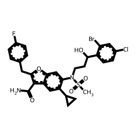 CS(=O)(=O)N(CCC(O)c1ccc(Cl)cc1Br)c1cc2oc(Cc3ccc(F)cc3)c(C(N)=O)c2cc1C1CC1